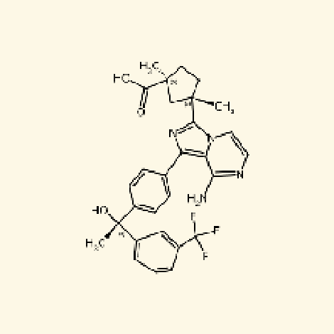 C[C@]1(C(=O)O)CC[C@](C)(c2nc(-c3ccc([C@@](C)(O)c4cccc(C(F)(F)F)c4)cc3)c3c(N)nccn23)C1